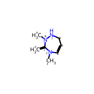 C=C1N(C)C=CCNN1C